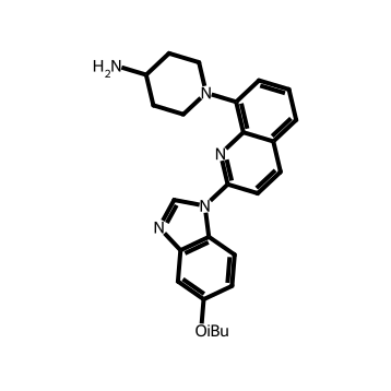 CC(C)COc1ccc2c(c1)ncn2-c1ccc2cccc(N3CCC(N)CC3)c2n1